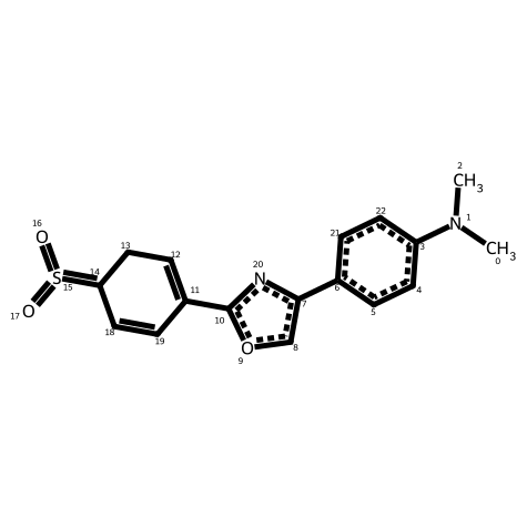 CN(C)c1ccc(-c2coc(C3=CCC(=S(=O)=O)C=C3)n2)cc1